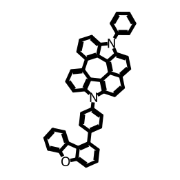 c1ccc(-n2c3cccc4c3c3c5c(ccc32)ccc2c5c3c-4cccc3n2-c2ccc(-c3cccc4oc5ccccc5c34)cc2)cc1